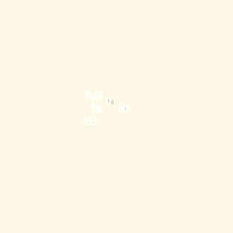 O.[Co].[Cu].[Ni].[Zn]